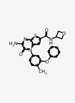 Cc1ccc(-n2c(=O)c(N)nc3sc(C(=O)NC4COC4)cc32)cc1Oc1ccccc1